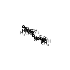 CCn1cc(C(=O)O)c(=O)c2cc(F)c(N3CCN(C(=O)OCc4ccc(NC(=O)C(C)c5cc(C[C@H](C)CNC(=O)OCc6ccccc6)no5)cc4)CC3)cc21